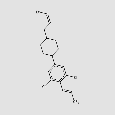 CC/C=C\CC1CCC(c2cc(Cl)c(/C=C/C(F)(F)F)c(Cl)c2)CC1